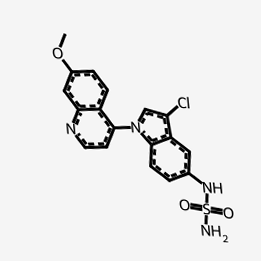 COc1ccc2c(-n3cc(Cl)c4cc(NS(N)(=O)=O)ccc43)ccnc2c1